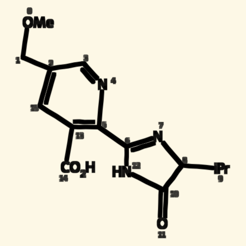 COCc1cnc(C2=NC(C(C)C)C(=O)N2)c(C(=O)O)c1